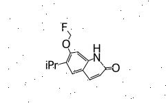 CC(C)c1cc2ccc(=O)[nH]c2cc1OCF